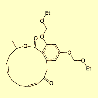 CCOCOc1cc2c(c(OCOCC)c1)C(=O)OC(C)C/C=C\CC/C=C\C(=O)C2